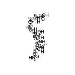 CNC(=O)OCC[C@H](CSC[C@H](N)C(=O)N[C@@H](CO)C(=O)NCCOC(C)(C)CCOC(C)(C)CCC(=O)NCC(=O)O)OC(=O)NC